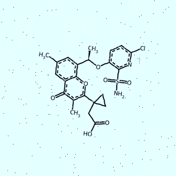 Cc1cc([C@@H](C)Oc2ccc(Cl)nc2S(N)(=O)=O)c2oc(C3(CC(=O)O)CC3)c(C)c(=O)c2c1